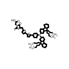 CCCCC1(CCCC)c2ccccc2-c2ccc(N(c3ccc(-c4ccc(-c5ccc(/C=C6\SC(=S)N(CC(=O)O)C6=O)s5)s4)cc3)c3ccc4c(c3)C(CCCC)(CCCC)c3ccccc3-4)cc21